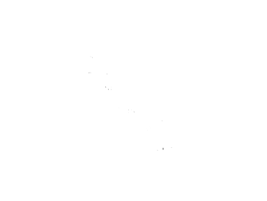 CCCCCOC(=O)CNCCNCCN